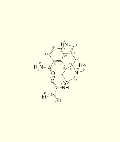 CCN(CC)C(=O)N[C@H]1CC2c3c(C(N)=O)ccc4[nH]cc(c34)C[C@H]2N(C)C1